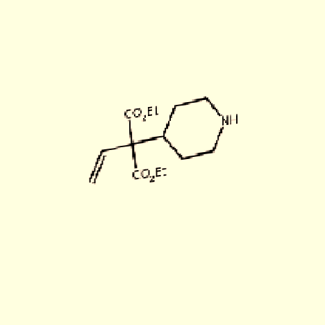 C=CC(C(=O)OCC)(C(=O)OCC)C1CCNCC1